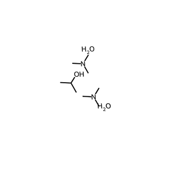 CC(C)O.CN(C)C.CN(C)C.O.O